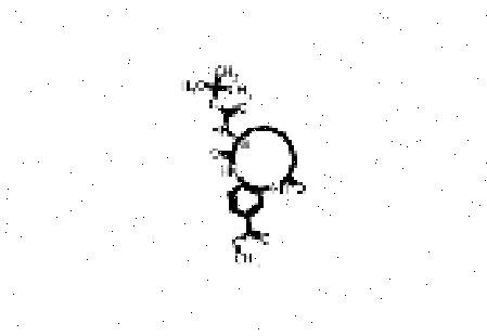 COC(=O)c1ccc2c(c1)NC(=O)CCCCC[C@H](NC(=O)OC(C)(C)C)C(=O)N2